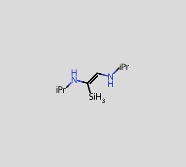 CC(C)NC=C([SiH3])NC(C)C